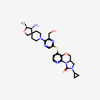 C[C@@H]1OCC2(CCN(c3ncc(Sc4ccnc5c4OCC4CN(C6CC6)C(=O)N54)nc3CO)CC2)[C@@H]1N